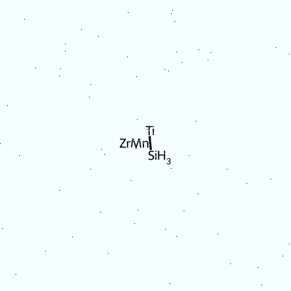 [Mn].[SiH3][Ti].[Zr]